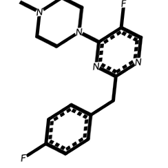 CN1CCN(c2nc(Cc3ccc(F)cc3)ncc2F)CC1